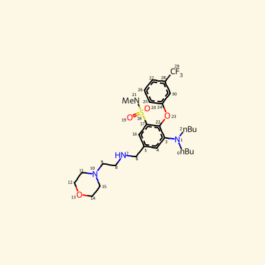 CCCCN(CCCC)c1cc(CNCCN2CCOCC2)cc(S(=O)(=O)NC)c1Oc1cccc(C(F)(F)F)c1